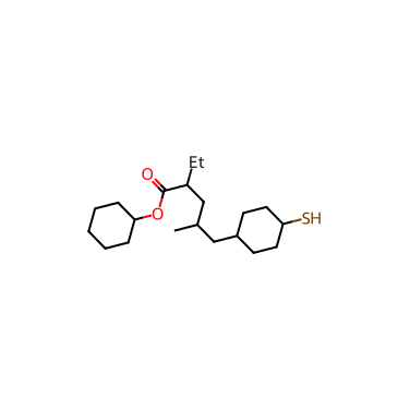 CCC(CC(C)CC1CCC(S)CC1)C(=O)OC1CCCCC1